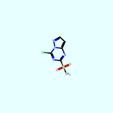 CS(=O)(=O)c1nc(Cl)n2nccc2n1